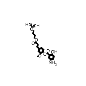 COc1cc(/C=C/C(=O)OCCCCON(O)O)ccc1OC(=O)c1cc(N)ccc1O